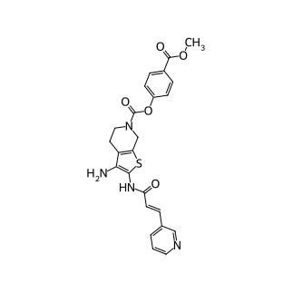 COC(=O)c1ccc(OC(=O)N2CCc3c(sc(NC(=O)/C=C/c4cccnc4)c3N)C2)cc1